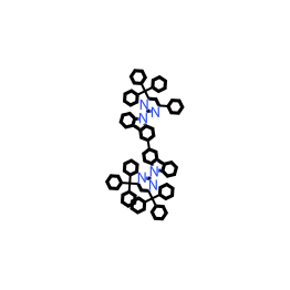 c1ccc(-c2cc(C(c3ccccc3)(c3ccccc3)c3ccccc3)nc(-n3c4ccccc4c4cc(-c5ccc6c(c5)c5ccccc5n6-c5nc(C(c6ccccc6)(c6ccccc6)c6ccccc6)cc(C(c6ccccc6)(c6ccccc6)c6ccccc6)n5)ccc43)n2)cc1